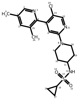 Cc1cnc(-c2cc(N3CCC(NS(=O)(=O)C4CC4)CC3)ncc2Cl)c(C)c1